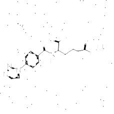 COC(=O)CCCC(NC(=O)c1ccc(-n2ccnn2)cc1)C(=O)O